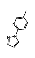 Cc1ccc(-n2cccn2)nc1